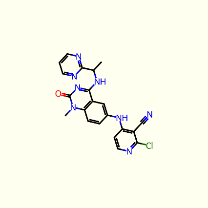 CC(Nc1nc(=O)n(C)c2ccc(Nc3ccnc(Cl)c3C#N)cc12)c1ncccn1